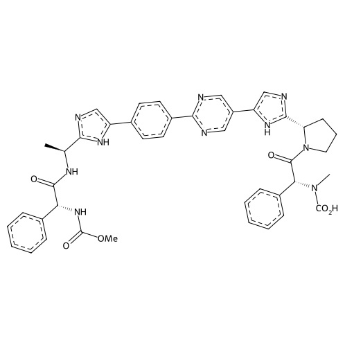 COC(=O)N[C@@H](C(=O)N[C@@H](C)c1ncc(-c2ccc(-c3ncc(-c4cnc([C@@H]5CCCN5C(=O)[C@@H](c5ccccc5)N(C)C(=O)O)[nH]4)cn3)cc2)[nH]1)c1ccccc1